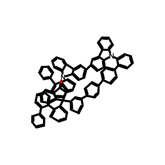 c1ccc(-c2ccccc2-c2ccccc2C2(c3cccc(-c4ccc(-c5ccc(-c6ccccc6-n6c7ccccc7c7cc(-c8ccc9c(c8)c8ccccc8n9-c8ccccc8-c8ccccc8)ccc76)cc5)cc4)c3)c3ccccc3-c3ccccc32)cc1